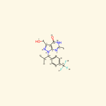 Cc1nc2c(c(CO)nn2C(c2ccc(C(F)(F)F)cc2)C(C)C)c(=O)[nH]1